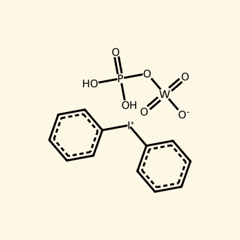 O=P(O)(O)[O][W](=[O])(=[O])[O-].c1ccc([I+]c2ccccc2)cc1